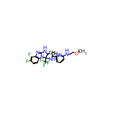 C=C(NC1(C(F)(F)F)C(=C)Nc2nc3c(F)c(F)ccc3n21)c1cccc(NCCOC)n1